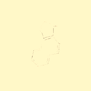 c1ccc2c(c1)ccc1[se]ccc12